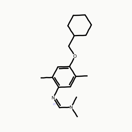 Cc1cc(OCC2CCCCC2)c(C)cc1/N=C\N(C)C